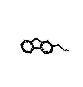 CNCc1ccc2c(c1)Cc1ccccc1-2